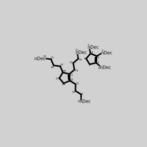 CCCCCCCCCCC1=C(CCCCCCCCCC)C(CCCCCCCCCC)CC1.CCCCCCCCCCCCCC1=C(CCCCCCCCCCCCC)C(CCCCCCCCCCCCC)CC1